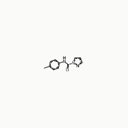 Cc1ccc(NC(=O)n2cc[c]n2)cc1